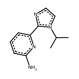 CC(C)n1ccnc1-c1cccc(N)n1